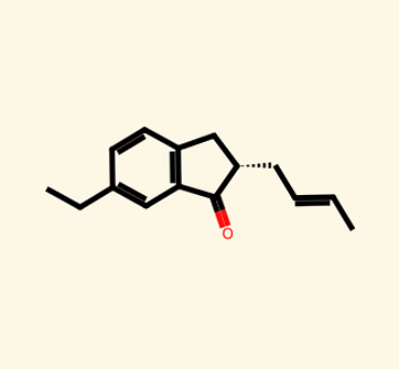 CC=CC[C@H]1Cc2ccc(CC)cc2C1=O